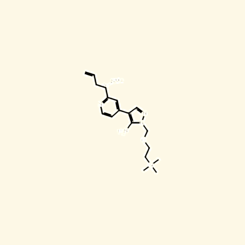 C=CC[C@H](NC)c1cc(-c2cnn(COCC[Si](C)(C)C)c2N)ccn1